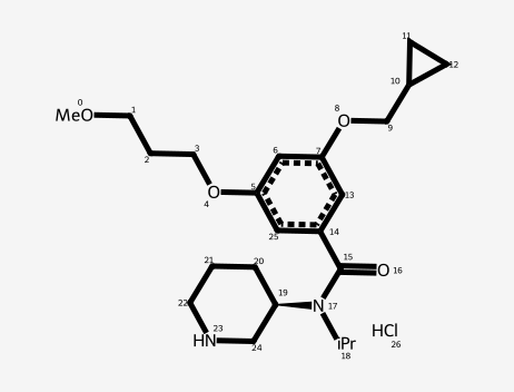 COCCCOc1cc(OCC2CC2)cc(C(=O)N(C(C)C)[C@@H]2CCCNC2)c1.Cl